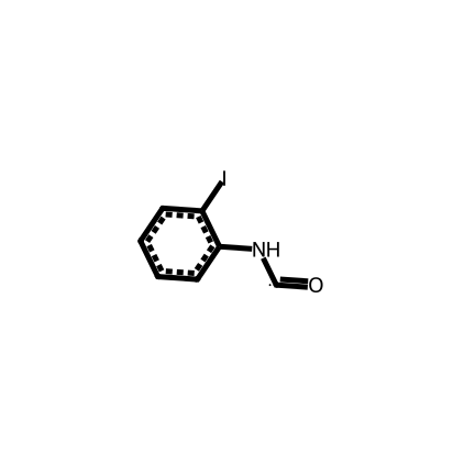 O=[C]Nc1ccccc1I